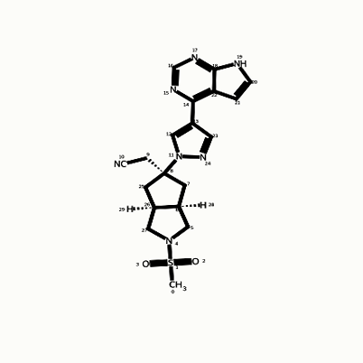 CS(=O)(=O)N1C[C@@H]2C[C@](CC#N)(n3cc(-c4ncnc5[nH]ccc45)cn3)C[C@@H]2C1